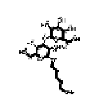 CSCCCCCO[C@H]1OC(CO)[C@H](O)[C@H](O[C@@H]2OC(CO)[C@H](O)[C@H](O)C2O)C1NC(C)=O